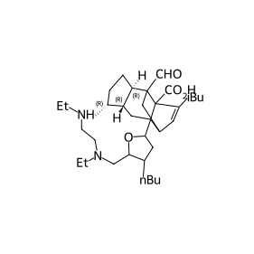 CCCCC1CC(C23C[C@@H]4[C@H](C)CC[C@H]4C4(C=O)CC2C=C(C(C)CC)C34C(=O)O)OC1CN(CC)CCNCC